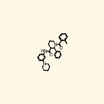 Cc1ccccc1C(=O)N1CCCC(C(=O)Nc2cccc(N3CCCCC3)c2)C1c1ccccc1